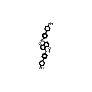 CCCC1CCC(c2ccc(NC3=C4C(=O)C=CC(Nc5ccc(C6CCC(CCC)CC6)cc5)=C4C(=O)C=C3)cc2)CC1